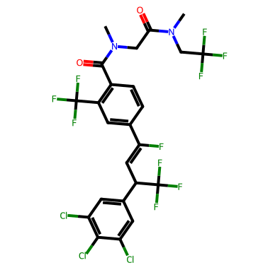 CN(CC(F)(F)F)C(=O)CN(C)C(=O)c1ccc(C(F)=CC(c2cc(Cl)c(Cl)c(Cl)c2)C(F)(F)F)cc1C(F)(F)F